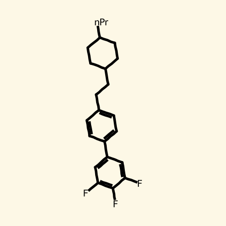 CCCC1CCC(CCc2ccc(-c3cc(F)c(F)c(F)c3)cc2)CC1